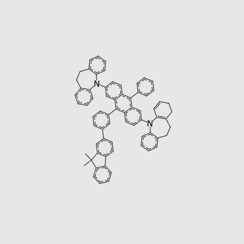 CC1(C)c2ccccc2-c2ccc(-c3cccc(-c4c5ccc(N6C7=C(CCC=C7)CCc7ccccc76)cc5c(-c5ccccc5)c5ccc(N6c7ccccc7CCc7ccccc76)cc45)c3)cc21